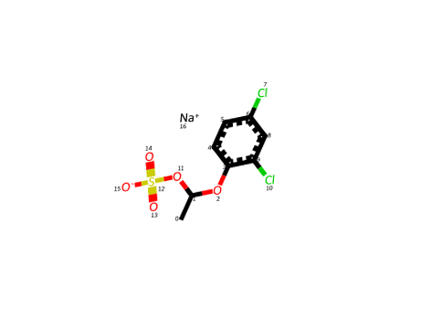 CC(Oc1ccc(Cl)cc1Cl)OS(=O)(=O)[O-].[Na+]